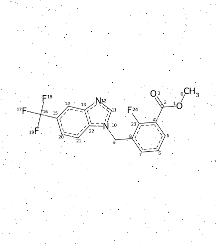 COC(=O)c1cccc(Cn2cnc3cc(C(F)(F)F)ccc32)c1F